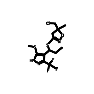 CCC(SC1=NOC(C)(CCl)C1)c1c(C(F)(F)F)n[nH]c1SC